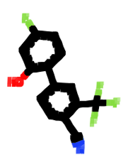 N#Cc1ccc(-c2ccc(F)cc2O)cc1C(F)(F)F